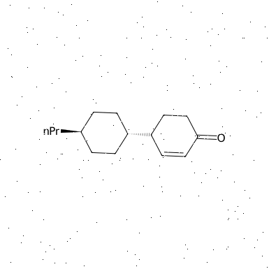 CCC[C@H]1CC[C@H](C2C=CC(=O)CC2)CC1